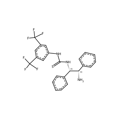 N[C@@H](c1ccccc1)[C@@H](NC(=S)Nc1cc(C(F)(F)F)cc(C(F)(F)F)c1)c1ccccc1